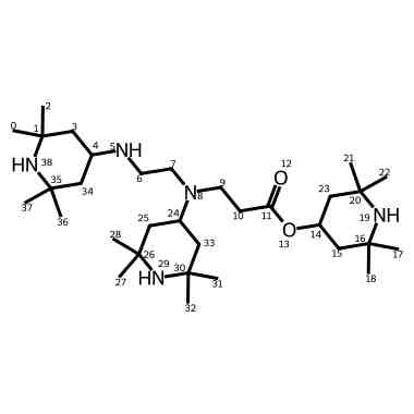 CC1(C)CC(NCCN(CCC(=O)OC2CC(C)(C)NC(C)(C)C2)C2CC(C)(C)NC(C)(C)C2)CC(C)(C)N1